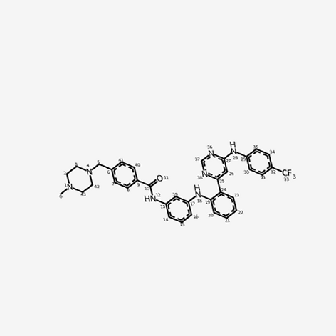 CN1CCN(Cc2ccc(C(=O)Nc3cccc(Nc4ccccc4-c4cc(Nc5ccc(C(F)(F)F)cc5)ncn4)c3)cc2)CC1